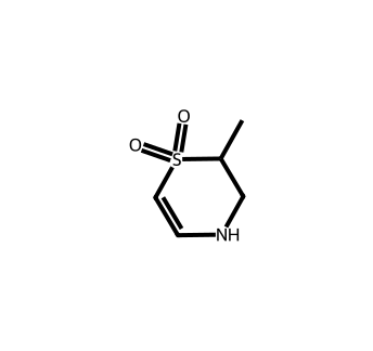 CC1CNC=CS1(=O)=O